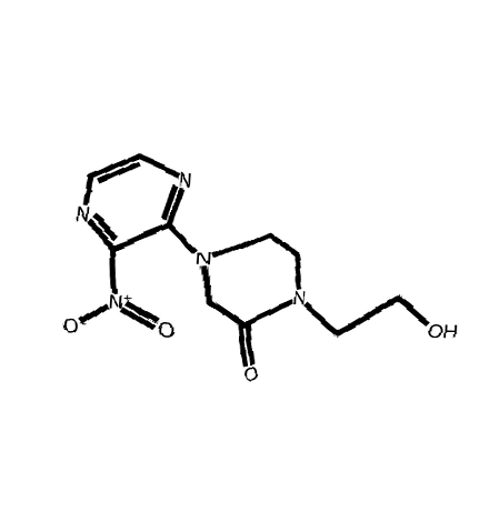 O=C1CN(c2nccnc2[N+](=O)[O-])CCN1CCO